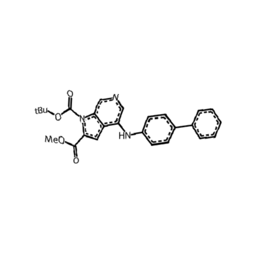 COC(=O)c1cc2c(Nc3ccc(-c4ccccc4)cc3)cncc2n1C(=O)OC(C)(C)C